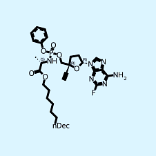 C#C[C@@]1(COP(=O)(N[C@@H](C)C(=O)OCCCCCCCCCCCCCCCC)Oc2ccccc2)CC[C@H](n2cnc3c(N)nc(F)nc32)O1